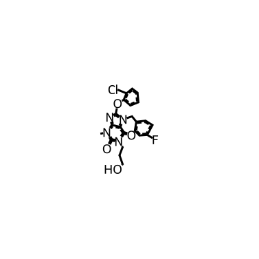 Cn1c(=O)n(CCCO)c(=O)c2c1nc(Oc1ccccc1Cl)n2Cc1ccc(F)cc1